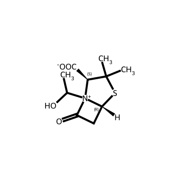 CC(O)[N+]12C(=O)C[C@H]1SC(C)(C)[C@@H]2C(=O)[O-]